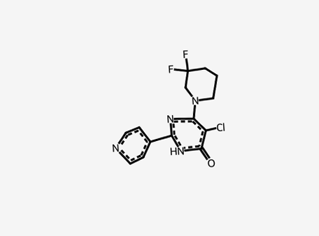 O=c1[nH]c(-c2ccncc2)nc(N2CCCC(F)(F)C2)c1Cl